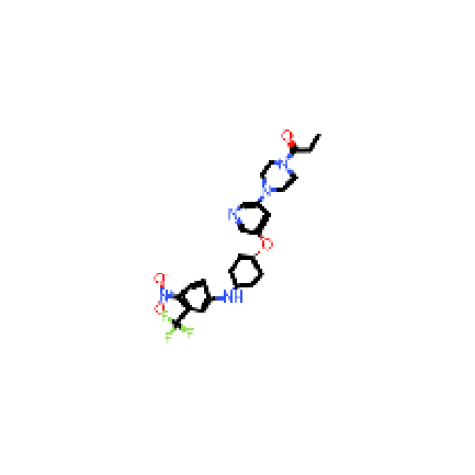 CCC(=O)N1CCN(c2cncc(O[C@H]3CC[C@H](Nc4ccc([N+](=O)[O-])c(C(F)(F)F)c4)CC3)c2)CC1